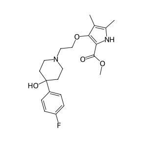 COC(=O)c1[nH]c(C)c(C)c1OCCN1CCC(O)(c2ccc(F)cc2)CC1